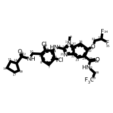 Cn1c(Nc2c(Cl)ccc(CNC(=O)C3CCCC3)c2Cl)nc2cc(C(=O)NCC(F)(F)F)c(OCC(F)F)cc21